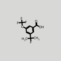 CC(C)(F)c1cc(OC(F)(F)F)cc(C(=O)O)c1